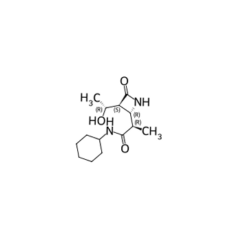 C[C@@H](O)[C@H]1C(=O)N[C@@H]1[C@@H](C)C(=O)NC1CCCCC1